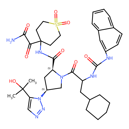 CC(C)(O)c1cnnn1[C@H]1C[C@@H](C(=O)NC2(C(=O)C(N)=O)CCS(=O)(=O)CC2)N(C(=O)C(CC2CCCCC2)NC(=O)Nc2ccc3ccccc3c2)C1